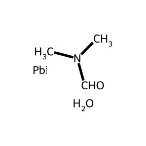 CN(C)C=O.O.[Pb]